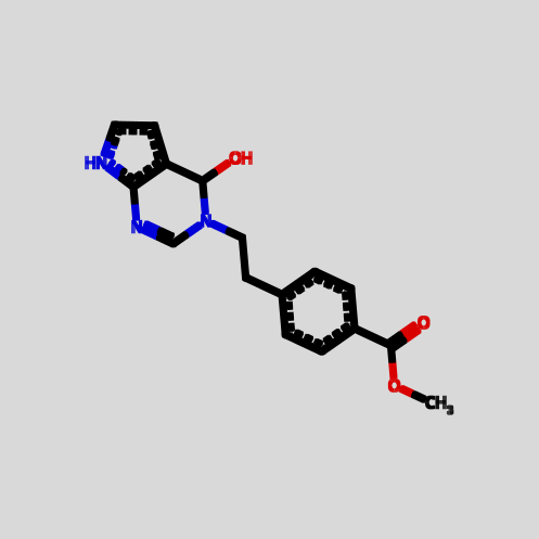 COC(=O)c1ccc(CCN2C=Nc3[nH]ccc3C2O)cc1